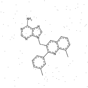 Cc1cccc(-c2nc3c(C)cccc3cc2Cn2cnc3c(N)ncnc32)c1